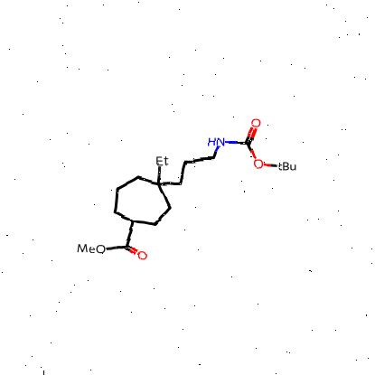 CCC1(CCCNC(=O)OC(C)(C)C)CCCC(C(=O)OC)CC1